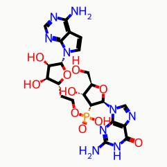 Nc1nc2c(ncn2[C@@H]2O[C@H](CO)[C@@H](O)[C@H]2P(=O)(O)OCC[C@H]2O[C@@H](n3ccc4c(N)ncnc43)[C@H](O)[C@@H]2O)c(=O)[nH]1